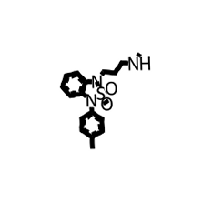 CNCCCN1c2ccccc2N(c2ccc(C)cc2)S1(=O)=O